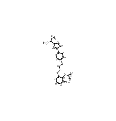 CC(C)c1nc(-c2ccc(O[CH]CCc3cccc(F)c3C[SH](=O)=O)cc2)no1